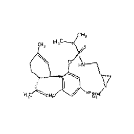 C=C(C)[C@@H]1CCC(C)=C[C@H]1c1c(O)cc(CCCCC)cc1OP(=S)(NCC1CN1CC)N(C)C